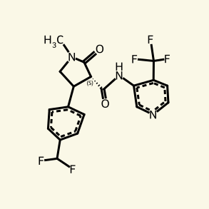 CN1CC(c2ccc(C(F)F)cc2)[C@@H](C(=O)Nc2cnccc2C(F)(F)F)C1=O